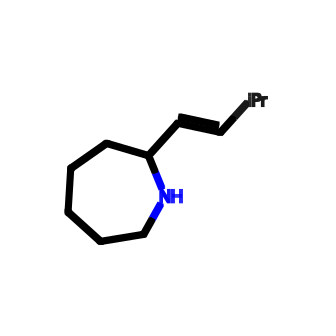 CC(C)/C=C/C1CCCCCN1